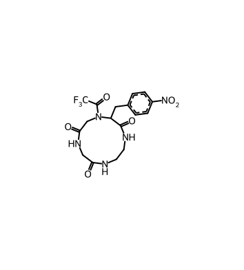 O=C1CNC(=O)CN(C(=O)C(F)(F)F)C(Cc2ccc([N+](=O)[O-])cc2)C(=O)NCCN1